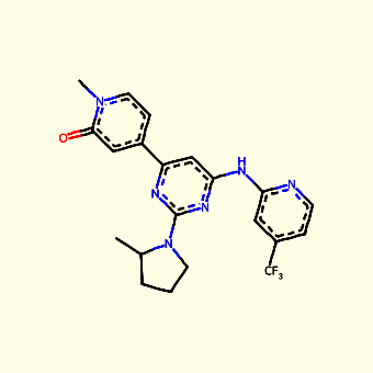 CC1CCCN1c1nc(Nc2cc(C(F)(F)F)ccn2)cc(-c2ccn(C)c(=O)c2)n1